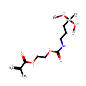 C=C(C)C(=O)OCCOC(=O)NCCC[Si](CC)(OCC)OCC